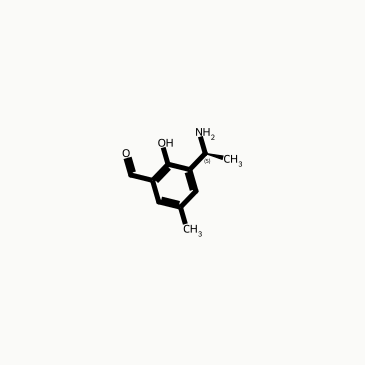 Cc1cc(C=O)c(O)c([C@H](C)N)c1